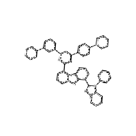 c1ccc(-c2ccc(-c3cc(-c4cccc(-c5ccccc5)c4)nc(-c4cccc5oc6c(-c7nc8ccccc8n7-c7ccccc7)cccc6c45)n3)cc2)cc1